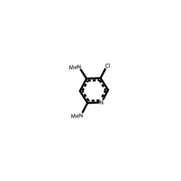 CNc1cc(NC)c(Cl)cn1